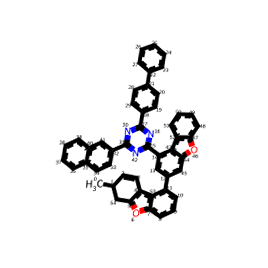 CC1C=Cc2c(oc3cccc(-c4cc(-c5nc(-c6ccc(-c7ccccc7)cc6)nc(-c6ccc7ccccc7c6)n5)c5c(c4)oc4ccccc45)c23)C1